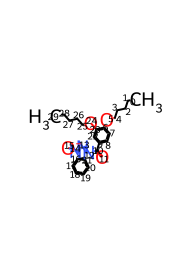 CCCCCOc1ccc(C(=O)n2n[n+]([O-])c3ccccc32)cc1OCCCCC